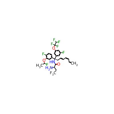 C=C/C=C\C=C\C[C@](NC(=O)C(N)CC(F)(F)F)(c1cc(F)cc(OC(F)(F)C(F)F)c1)c1ccc(F)c(OC(C)F)c1